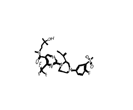 CC(C)C1CN(c2ccc(F)c(S(C)(=O)=O)c2)CCN1c1ncc(C(=O)N(C)CCC(C)(C)O)c(C(F)(F)F)n1